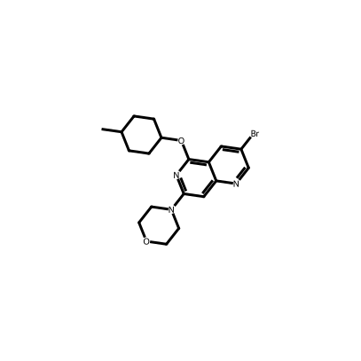 CC1CCC(Oc2nc(N3CCOCC3)cc3ncc(Br)cc23)CC1